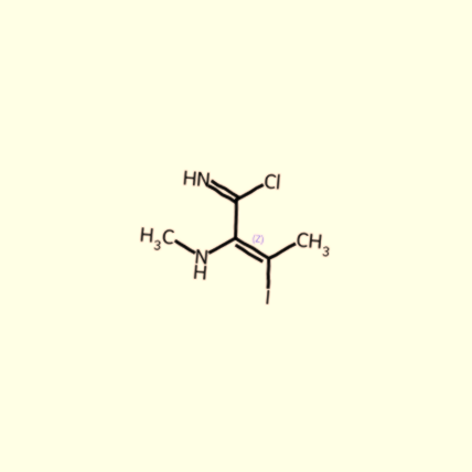 CN/C(C(=N)Cl)=C(/C)I